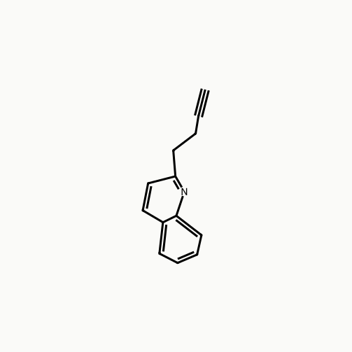 C#CCCc1ccc2ccccc2n1